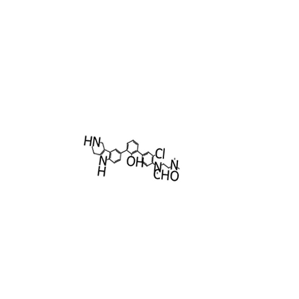 CN(C)CCN(C=O)c1ccc(-c2cccc(-c3ccc4[nH]c5c(c4c3)CNCC5)c2O)cc1Cl